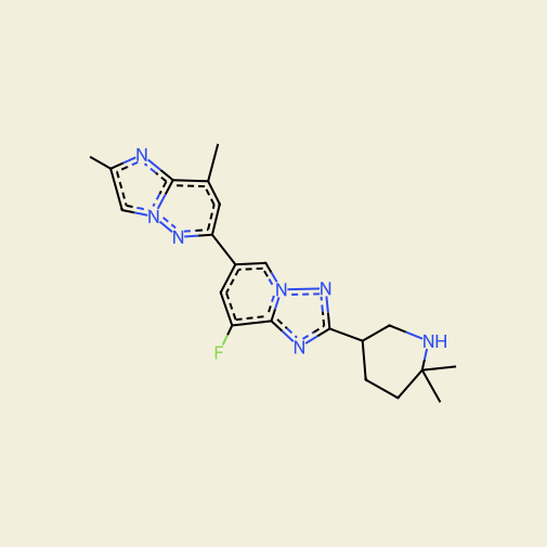 Cc1cn2nc(-c3cc(F)c4nc(C5CCC(C)(C)NC5)nn4c3)cc(C)c2n1